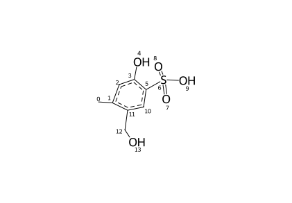 Cc1cc(O)c(S(=O)(=O)O)cc1CO